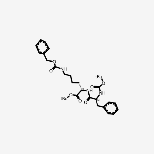 CC(C)(C)OC(=O)N[C@@H](Cc1ccccc1)C(=O)N[C@@H](CCCCNC(=O)OCc1ccccc1)C(=O)OC(C)(C)C